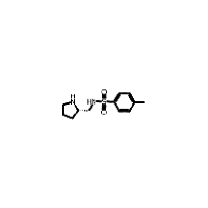 Cc1ccc(S(=O)(=O)NC[C@@H]2CCCN2)cc1